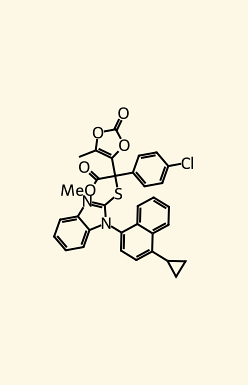 COC(=O)C(Sc1nc2ccccc2n1-c1ccc(C2CC2)c2ccccc12)(c1ccc(Cl)cc1)c1oc(=O)oc1C